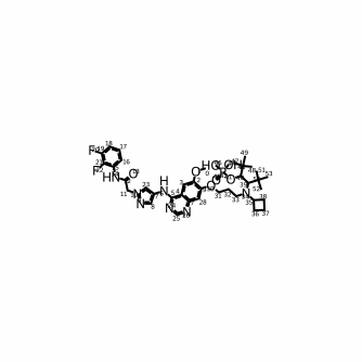 COc1cc2c(Nc3cnn(CC(=O)Nc4cccc(F)c4F)c3)ncnc2cc1OCCCN(C1CCC1)C(C(OP(=O)(O)O)C(C)(C)C)C(C)(C)C